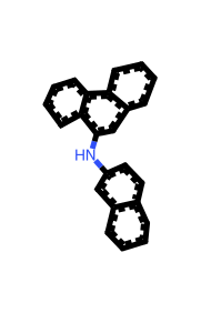 c1ccc2cc(Nc3cc4ccccc4c4ccccc34)ccc2c1